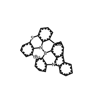 CC(C)(C)c1cccc2c1N(B1c3ccccc3-n3c4ccccc4c4cccc1c43)c1c(cccc1C(C)(C)C)S2